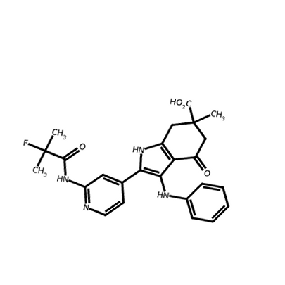 CC(C)(F)C(=O)Nc1cc(-c2[nH]c3c(c2Nc2ccccc2)C(=O)CC(C)(C(=O)O)C3)ccn1